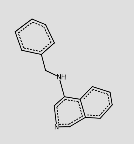 c1ccc(CNc2cncc3ccccc23)cc1